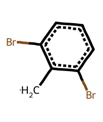 [CH2]c1c(Br)cccc1Br